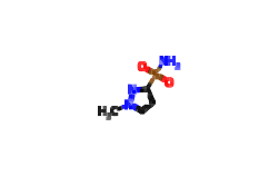 Cn1ccc(S(N)(=O)=O)n1